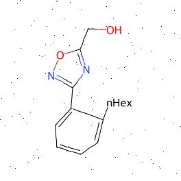 CCCCCCc1ccccc1-c1noc(CO)n1